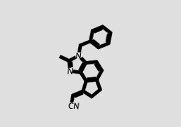 Cc1nc2c3c(ccc2n1Cc1ccccc1)CCC3=CC#N